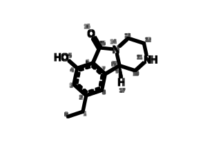 CCc1cc(O)c2c(c1)[C@H]1CNCCN1C2=O